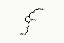 COCOCC1CC[C@@H](COCOC)N1C(C)=O